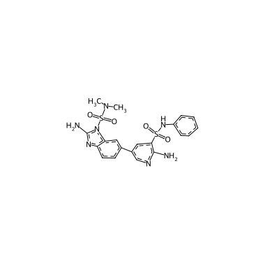 CN(C)S(=O)(=O)n1c(N)nc2ccc(-c3cnc(N)c(S(=O)(=O)Nc4ccccc4)c3)cc21